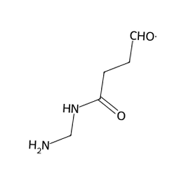 NCNC(=O)CC[C]=O